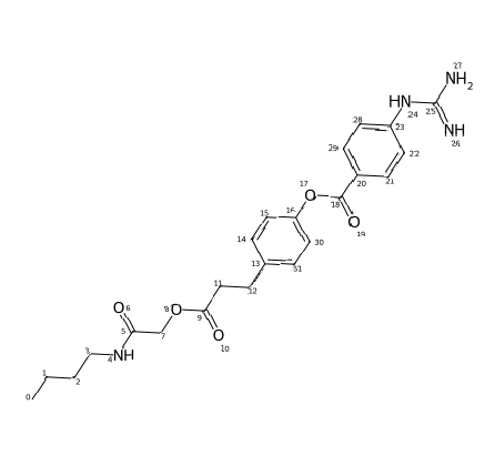 CCCCNC(=O)COC(=O)CCc1ccc(OC(=O)c2ccc(NC(=N)N)cc2)cc1